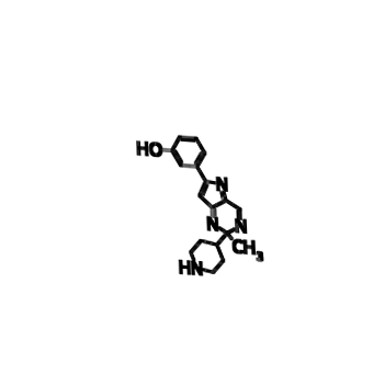 CC1(C2CCNCC2)N=CC2=NC(c3cccc(O)c3)=CC2=N1